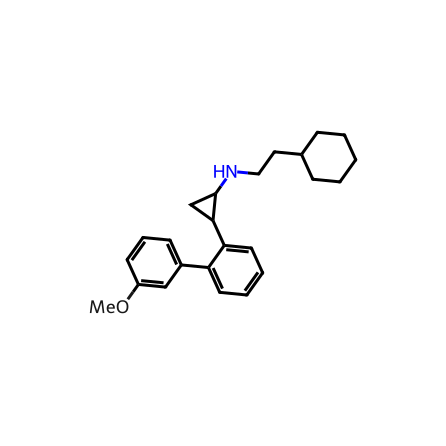 COc1cccc(-c2ccccc2C2CC2NCCC2CCCCC2)c1